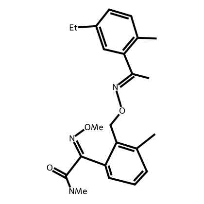 CCc1ccc(C)c(/C(C)=N/OCc2c(C)cccc2/C(=N\OC)C(=O)NC)c1